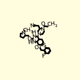 C=CC(=O)N1CCN(C2NC(OCC3CCCN3C)NC3C(=O)[C@@]4(CCc5c(F)cccc5S4)CCC32)CC1CC#N